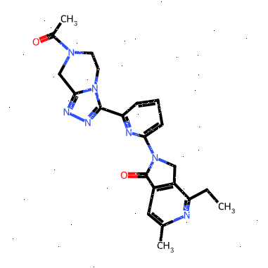 CCc1nc(C)cc2c1CN(c1cccc(-c3nnc4n3CCN(C(C)=O)C4)n1)C2=O